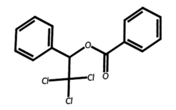 O=C(OC(c1ccccc1)C(Cl)(Cl)Cl)c1ccccc1